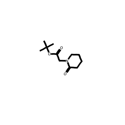 CC(C)(C)OC(=O)CN1CCCCC1=O